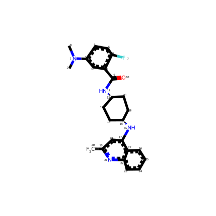 CN(C)c1ccc(F)c(C(=O)N[C@H]2CC[C@@H](Nc3cc(C(F)(F)F)nc4ccccc34)CC2)c1